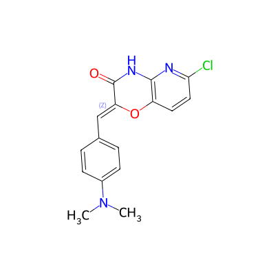 CN(C)c1ccc(/C=C2\Oc3ccc(Cl)nc3NC2=O)cc1